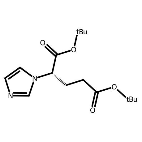 CC(C)(C)OC(=O)CC[C@@H](C(=O)OC(C)(C)C)n1ccnc1